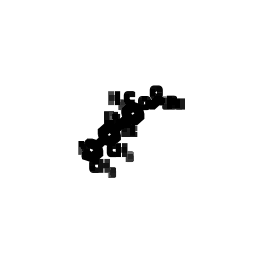 CCC(CC)(c1ccc(OCC(=O)C(C)(C)C)c(C)c1)c1ccc(-c2cncc(C)c2)c(C)c1